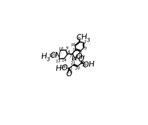 Cc1ccc2onc(C3CCN(C)CC3)c2c1.O=C(O)/C=C/C(=O)O